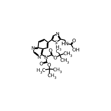 CC(C)(C)OC(=O)N(C(=O)OC(C)(C)C)c1ncnc2ccc(-c3cnc(CNC(=O)O)s3)cc12